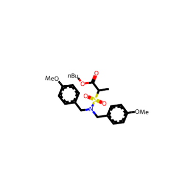 CCCCOC(=O)C(C)S(=O)(=O)N(Cc1ccc(OC)cc1)Cc1ccc(OC)cc1